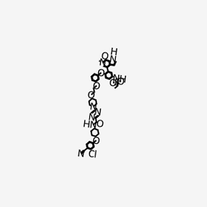 CCS(=O)(=O)Nc1ccc(Oc2cccc(OCCOC3CCN(c4cnc(C(=O)N[C@H]5CC[C@H](Oc6ccc(C#N)c(Cl)c6)CC5)cn4)CC3)c2)c(-c2cn(C)c(=O)c3[nH]ccc23)c1